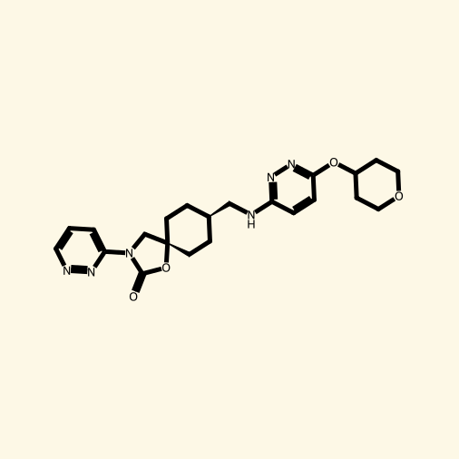 O=C1O[C@]2(CC[C@H](CNc3ccc(OC4CCOCC4)nn3)CC2)CN1c1cccnn1